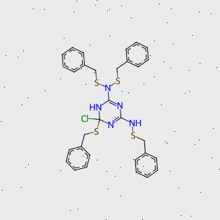 ClC1(SCc2ccccc2)N=C(NSCc2ccccc2)N=C(N(SCc2ccccc2)SCc2ccccc2)N1